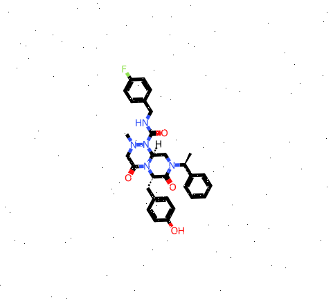 C[C@@H](c1ccccc1)N1C[C@H]2N(C(=O)CN(C)N2C(=O)NCc2ccc(F)cc2)[C@@H](Cc2ccc(O)cc2)C1=O